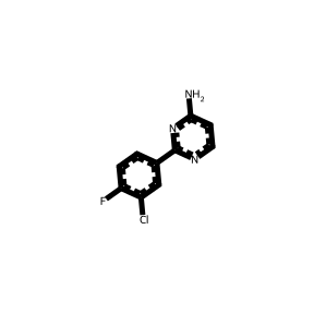 Nc1ccnc(-c2ccc(F)c(Cl)c2)n1